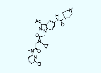 CC(=O)c1nn(CC(=O)N(CC(=O)Nc2cccc(Cl)n2)C2CC2)c2ccc(NC(=O)N3CCN(C)CC3)cc12